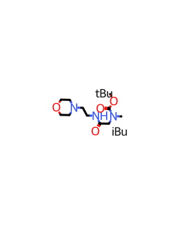 CC[C@H](C)C(C(=O)NCCN1CCOCC1)N(C)C(=O)OC(C)(C)C